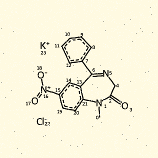 CN1C(=O)CN=C(c2ccccc2)c2cc([N+](=O)[O-])ccc21.[Cl-].[K+]